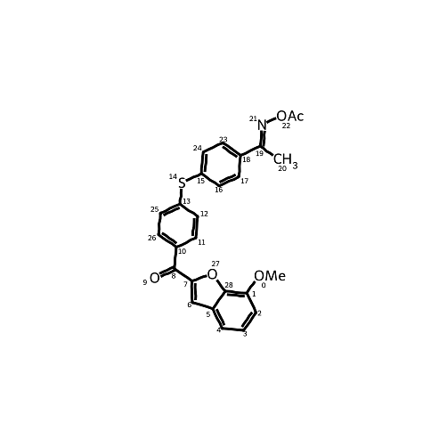 COc1cccc2cc(C(=O)c3ccc(Sc4ccc(C(C)=NOC(C)=O)cc4)cc3)oc12